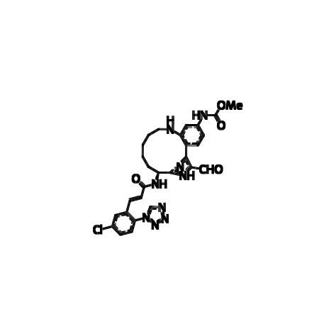 COC(=O)Nc1ccc2c(c1)NCCCCC[C@H](NC(=O)/C=C/c1cc(Cl)ccc1-n1cnnn1)c1nc-2c(C=O)[nH]1